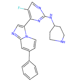 Fc1cnc(NC2CCNCC2)nc1-c1cnc2cc(-c3ccccc3)ccn12